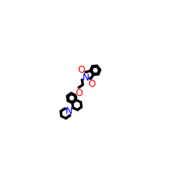 O=C1c2ccccc2C(=O)N1CCCOc1cccc2c1CCCC2N1CCCCC1